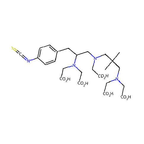 CC(C)(CN(CC(=O)O)CC(=O)O)CN(CC(=O)O)CC(Cc1ccc(N=C=S)cc1)N(CC(=O)O)CC(=O)O